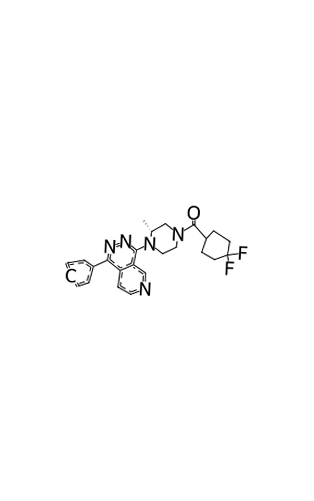 C[C@@H]1CN(C(=O)C2CCC(F)(F)CC2)CCN1c1nnc(-c2ccccc2)c2ccncc12